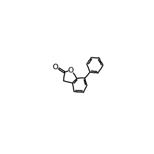 O=C1Cc2cccc(-c3ccccc3)c2O1